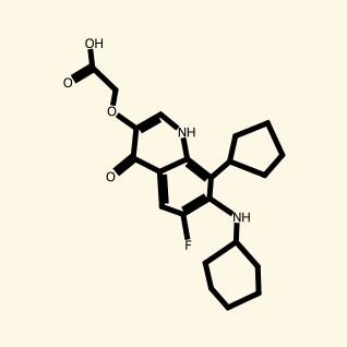 O=C(O)COc1c[nH]c2c(C3CCCC3)c(NC3CCCCC3)c(F)cc2c1=O